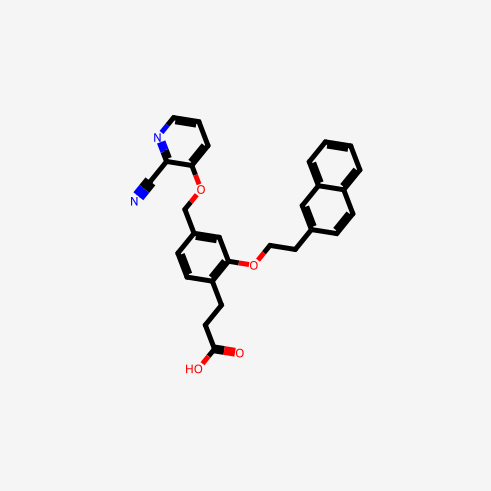 N#Cc1ncccc1OCc1ccc(CCC(=O)O)c(OCCc2ccc3ccccc3c2)c1